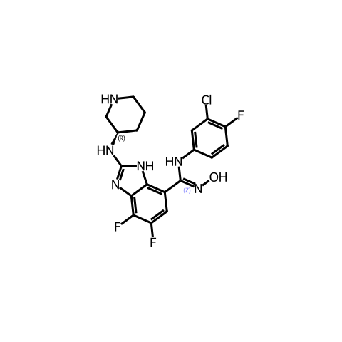 O/N=C(\Nc1ccc(F)c(Cl)c1)c1cc(F)c(F)c2nc(N[C@@H]3CCCNC3)[nH]c12